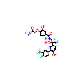 COc1cc(C(=O)NCC(O)(c2ccc(OC)c(-c3ccc(F)c([C@@H](C)F)c3)n2)C(F)(F)F)ccc1OCC(N)=O